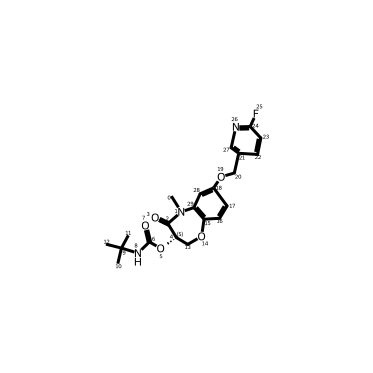 CN1C(=O)[C@@H](OC(=O)NC(C)(C)C)COc2ccc(OCc3ccc(F)nc3)cc21